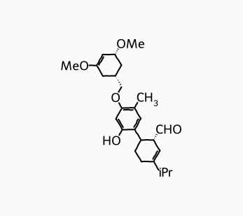 COC1=C[C@H](OC)C[C@H](COc2cc(O)c(C3CCC(C(C)C)=C[C@H]3C=O)cc2C)C1